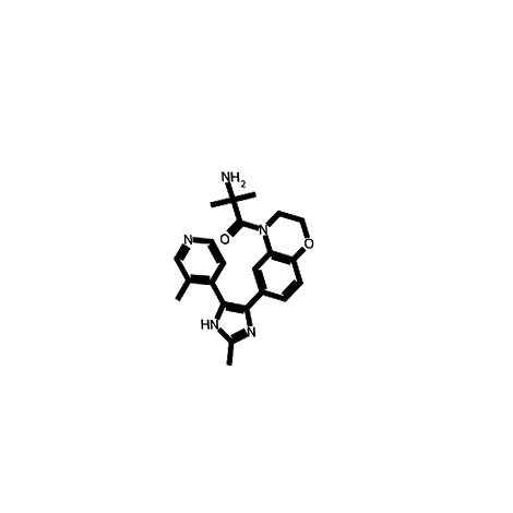 Cc1nc(-c2ccc3c(c2)N(C(=O)C(C)(C)N)CCO3)c(-c2ccncc2C)[nH]1